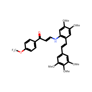 COc1cc(C=Cc2cc(OC)c(OC)c(OC)c2)c(NC=CC(=O)c2ccc(OC(F)(F)F)cc2)cc1OC